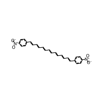 O=[N+]([O-])c1ccc(/C=C/C=C/C=C/C=C/C=C/C=C/C=C/c2ccc([N+](=O)[O-])cc2)cc1